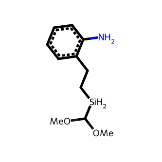 COC(OC)[SiH2]CCc1ccccc1N